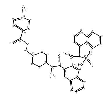 CN(C(=O)c1cc2ccccc2cc1C(=O)C(c1cccc2ccccc12)P(=O)(O)O)C1CCN(CCC(=O)c2ccc(C(F)(F)F)cc2)CC1